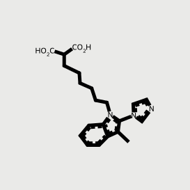 Cc1c(-n2ccnc2)n(CCCCCCC(C(=O)O)C(=O)O)c2ccccc12